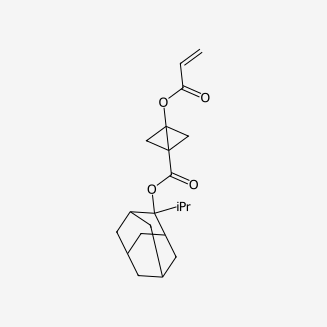 C=CC(=O)OC12CC1(C(=O)OC1(C(C)C)C3CC4CC(C3)CC1C4)C2